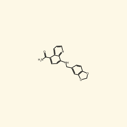 NC(=O)c1ccc(NCc2ccc3c(c2)OCO3)c2ncccc12